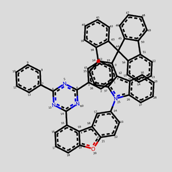 c1ccc(-c2nc(-c3ccccc3)nc(-c3cccc4oc5ccc(-n6c7ccccc7c7c8c(ccc76)-c6ccccc6C86c7ccccc7-c7ccccc76)cc5c34)n2)cc1